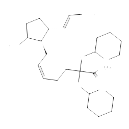 CCCCCC/C=C/[C@H]1CCC(OC(C)=O)[C@@H]1C/C=C\CCC(OC1CCCCO1)(OC1CCCCO1)C(=O)OC